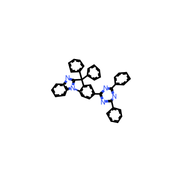 c1ccc(-c2nc(-c3ccccc3)nc(-c3ccc4c(c3)C(c3ccccc3)(c3ccccc3)c3nc5ccccc5n3-4)n2)cc1